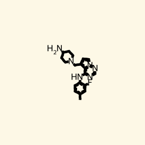 Cc1ccc(Nc2ncnn3ccc(CN4CCC(N)CC4)c23)c(F)c1